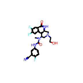 CN(C(=O)Nc1ccc(F)c(C#N)c1)C1CN(CCO)Cc2[nH]c(=O)c3cc(F)c(F)cc3c21